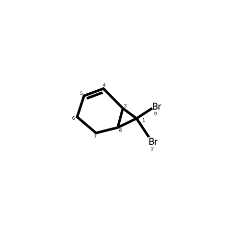 BrC1(Br)C2C=CCCC21